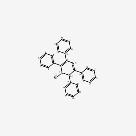 BrN1C(c2ccccc2)=C(c2ccccc2)N=C(c2ccccc2)C1c1ccccc1